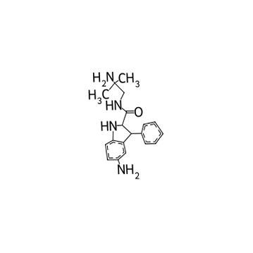 CC(C)(N)CNC(=O)C1Nc2ccc(N)cc2C1c1ccccc1